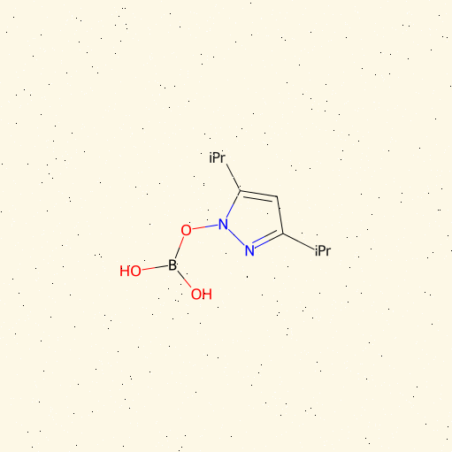 CC(C)c1cc(C(C)C)n(OB(O)O)n1